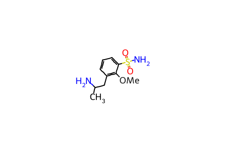 COc1c(CC(C)N)cccc1S(N)(=O)=O